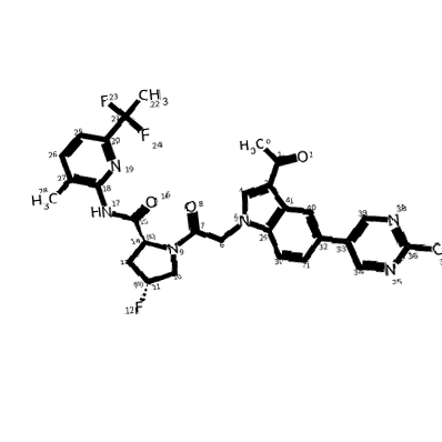 CC(=O)c1cn(CC(=O)N2C[C@H](F)C[C@H]2C(=O)Nc2nc(C(C)(F)F)ccc2C)c2ccc(-c3cnc(C)nc3)cc12